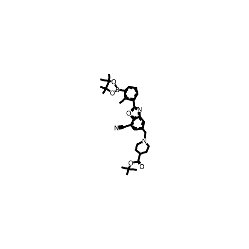 Cc1c(B2OC(C)(C)C(C)(C)O2)cccc1-c1nc2cc(CN3CCC(C(=O)OC(C)(C)C)CC3)cc(C#N)c2o1